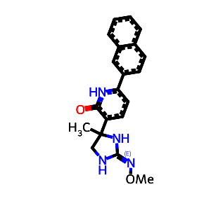 CO/N=C1\NCC(C)(c2ccc(-c3ccc4ccccc4c3)[nH]c2=O)N1